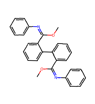 CO/C(=N/c1ccccc1)c1ccccc1-c1ccccc1/C(=N\c1ccccc1)OC